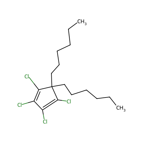 CCCCCCC1(CCCCCC)C(Cl)=C(Cl)C(Cl)=C1Cl